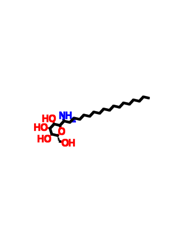 CCCCCCCCCCCCCCCCCC(N)C1O[C@H](CO)[C@H](O)[C@H](O)[C@H]1O